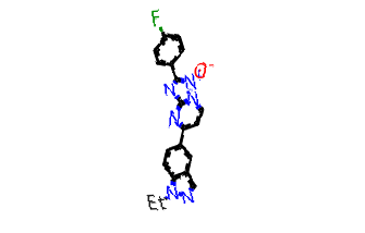 CCn1ncc2cc(-c3ccn4c(n3)nc(-c3ccc(F)cc3)[n+]4[O-])ccc21